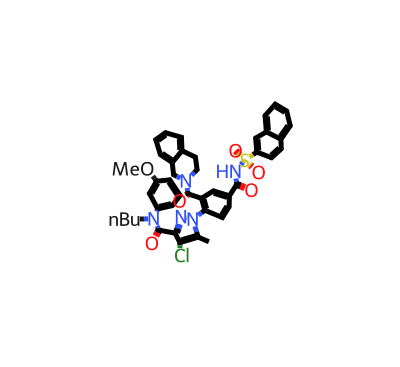 CCCCN(C(=O)c1nn(-c2ccc(C(=O)NS(=O)(=O)c3ccc4ccccc4c3)cc2C(=O)N2CCc3ccccc3C2)c(C)c1Cl)c1cccc(OC)c1